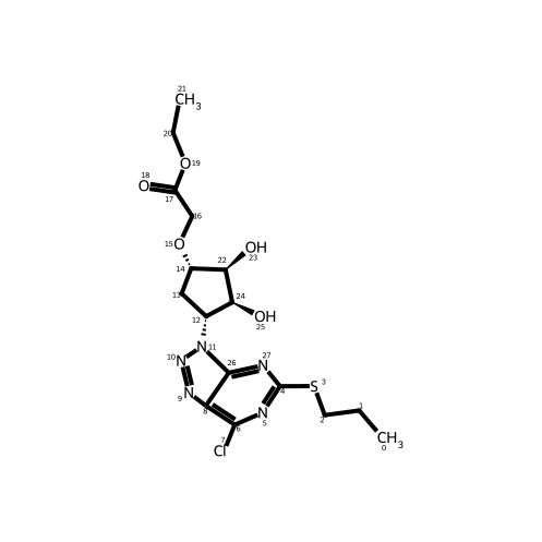 CCCSc1nc(Cl)c2nnn([C@@H]3C[C@H](OCC(=O)OCC)[C@@H](O)[C@H]3O)c2n1